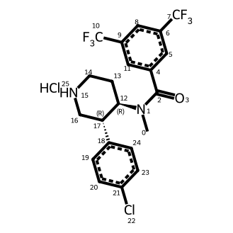 CN(C(=O)c1cc(C(F)(F)F)cc(C(F)(F)F)c1)[C@@H]1CCNC[C@H]1c1ccc(Cl)cc1.Cl